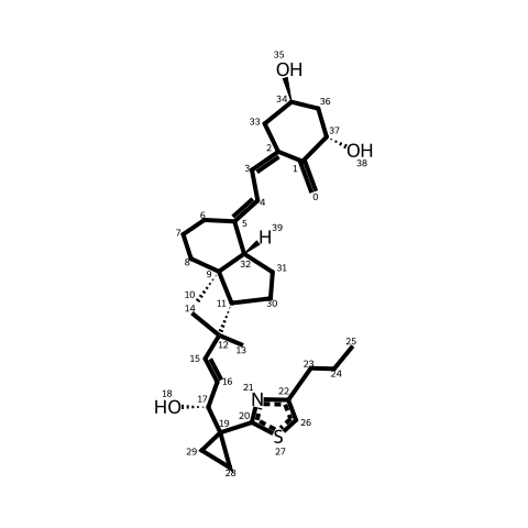 C=C1/C(=C\C=C2/CCC[C@]3(C)[C@@H](C(C)(C)/C=C/[C@@H](O)C4(c5nc(CCC)cs5)CC4)CC[C@@H]23)C[C@@H](O)C[C@@H]1O